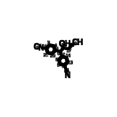 [C-]#[N+]c1ccc(C(c2ccc(C#N)cc2)C(O)CC#C)cc1